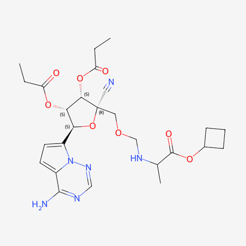 CCC(=O)O[C@H]1[C@H](c2ccc3c(N)ncnn23)O[C@](C#N)(COCNC(C)C(=O)OC2CCC2)[C@H]1OC(=O)CC